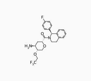 N[C@H]1C[C@H](C(=O)N2CCc3ccccc3[C@@H]2c2ccc(F)cc2)OC[C@@H]1OCC(F)(F)F